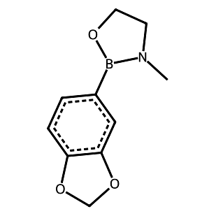 CN1CCOB1c1ccc2c(c1)OCO2